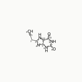 C#CCc1nc2[nH]c(=O)[nH]c(=O)c2[nH]1